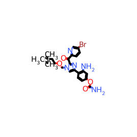 C[Si](C)(C)CCOCn1cc(-c2ccc(OC(N)=O)cc2N)nc1C(=O)c1ccc(Br)cn1